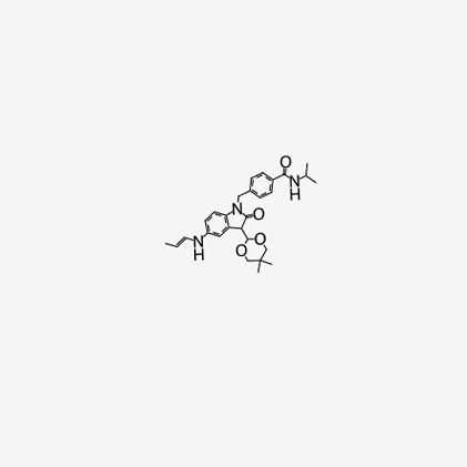 CC=CNc1ccc2c(c1)C(C1OCC(C)(C)CO1)C(=O)N2Cc1ccc(C(=O)NC(C)C)cc1